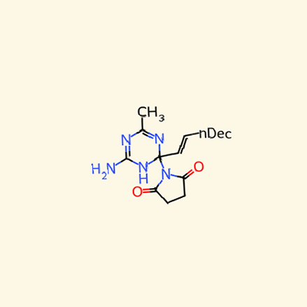 CCCCCCCCCCC=CC1(N2C(=O)CCC2=O)N=C(C)N=C(N)N1